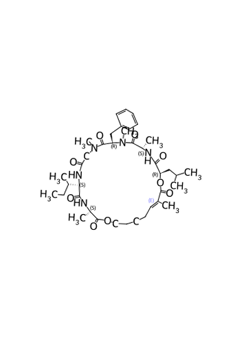 CCC(C)[C@@H]1NC(=O)CN(C)C(=O)[C@@H](Cc2ccccc2)N(C)C(=O)[C@H](C)NC(=O)[C@@H](CC(C)C)OC(=O)/C(C)=C/CCCCOC(=O)[C@H](C)NC1=O